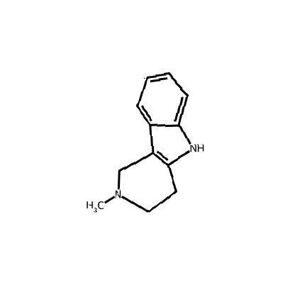 CN1CCc2[nH]c3cc[c]cc3c2C1